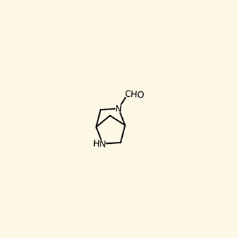 O=CN1CC2CC1CN2